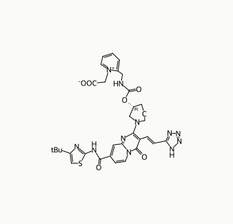 CC(C)(C)c1csc(NC(=O)c2ccn3c(=O)c(C=Cc4nnn[nH]4)c(N4CCC[C@@H](OC(=O)NCc5cccc[n+]5CC(=O)[O-])C4)nc3c2)n1